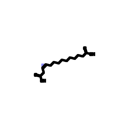 O=C(O)C/C=C\CCCCCCCCCC(=O)O